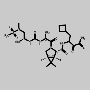 CN(C[C@@H](NC(=O)N[C@H](C(=O)N1C[C@H]2[C@@H]([C@H]1C(=O)NC(CC1CCC1)C(=O)C(N)=O)C2(C)C)C(C)(C)C)C(C)(C)C)S(=O)(=O)C(F)(F)F